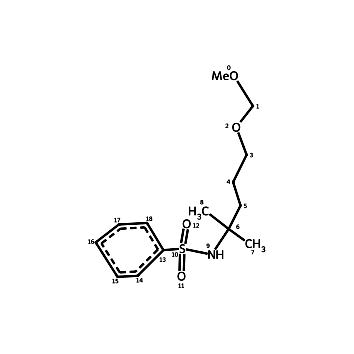 COCOCCCC(C)(C)NS(=O)(=O)c1ccccc1